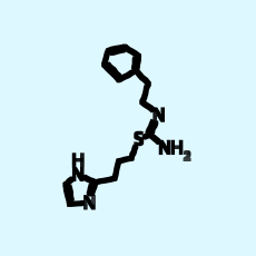 NC(=NCCc1ccccc1)SCCCc1ncc[nH]1